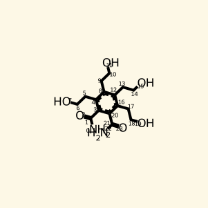 NC(=O)c1c(CCO)c(CCO)c(CCO)c(CCO)c1C(N)=O